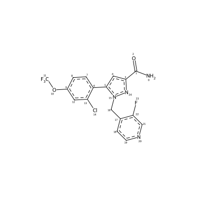 NC(=O)c1cc(-c2ccc(OC(F)(F)F)cc2Cl)n(Cc2ccncc2F)n1